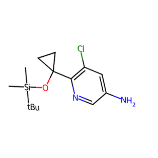 CC(C)(C)[Si](C)(C)OC1(c2ncc(N)cc2Cl)CC1